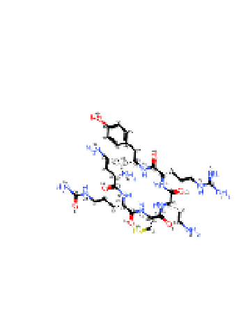 N=C(N)NCCC[C@H](NC(=O)[C@H](CCN)NC(=O)[C@H](CS)NC(=O)[C@H](CCCNC(N)=O)NC(=O)[C@@H](N)CCN)C(=O)N[C@@H](Cc1ccc(O)cc1)C(=O)O